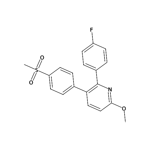 COc1ccc(-c2ccc(S(C)(=O)=O)cc2)c(-c2ccc(F)cc2)n1